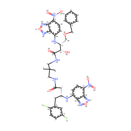 CC(C)(CNC(=O)C[C@@H](Cc1cc(F)ccc1F)Nc1ccc([N+](=O)[O-])c2nonc12)CNC(=O)[C@@H](O)[C@@H](COCc1ccccc1)Nc1ccc([N+](=O)[O-])c2nonc12